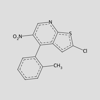 Cc1ccccc1-c1c([N+](=O)[O-])cnc2sc(Cl)cc12